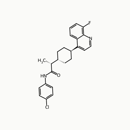 C[C@@H](C(=O)Nc1ccc(Cl)cc1)[C@H]1CC[C@H](c2ccnc3c(F)cccc32)CC1